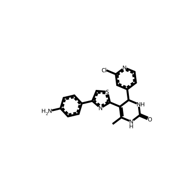 CC1=C(c2nc(-c3ccc(N)cc3)cs2)C(c2ccnc(Cl)c2)NC(=O)N1